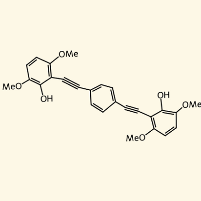 COc1ccc(OC)c(C#Cc2ccc(C#Cc3c(OC)ccc(OC)c3O)cc2)c1O